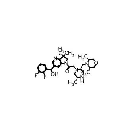 C[C@@H]1CN(CC(=O)N2CC(C)(C)c3ncc(C(O)c4cccc(F)c4F)cc32)[C@@H](CN2[C@H](C)COC[C@H]2C)CN1